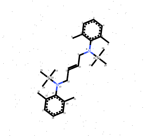 Cc1cccc(C)c1N(CC=CCN(c1c(C)cccc1C)[Si](C)(C)C)[Si](C)(C)C